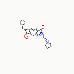 O=C(NCCCN1CCCC1)c1ccc2c(c1)C(=O)C2Cc1ccccc1